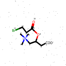 C[N+](C)(C)CC(CC(=O)[O-])OC(=O)CCBr